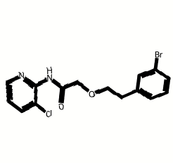 O=C(COCCc1cccc(Br)c1)Nc1ncccc1Cl